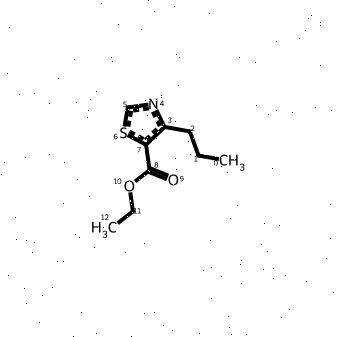 CCCc1ncsc1C(=O)OCC